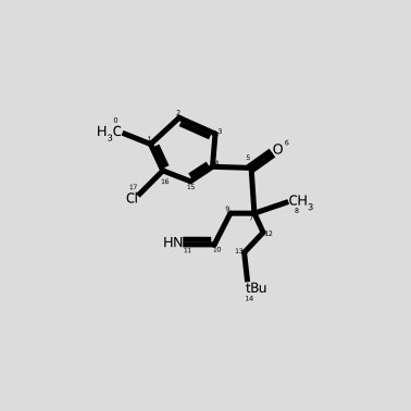 Cc1ccc(C(=O)C(C)(CC=N)CCC(C)(C)C)cc1Cl